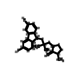 CC1CCN(CC(C)(O)Cn2c3ccc(F)cc3c3cc(F)ccc32)C1=O